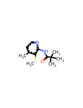 CSc1c(C)ccnc1NC(=O)C(C)(C)C